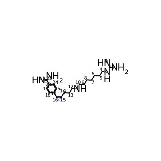 N=C(N)NCCCCCCCNCCC/C=C\c1ccc(C(=N)N)cc1